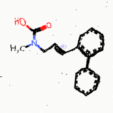 CN(C/C=C/c1ccccc1-c1ccccc1)C(=O)O